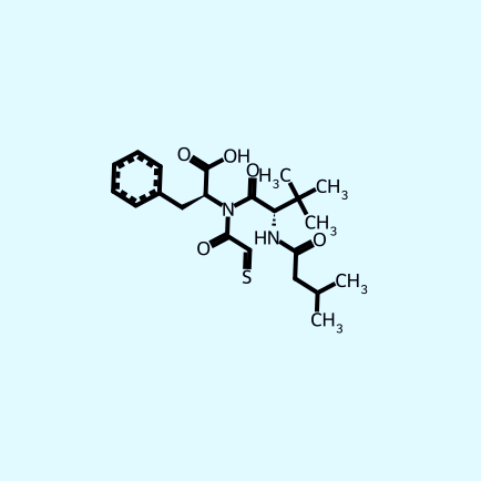 CC(C)CC(=O)N[C@H](C(=O)N(C(=O)C=S)[C@@H](Cc1ccccc1)C(=O)O)C(C)(C)C